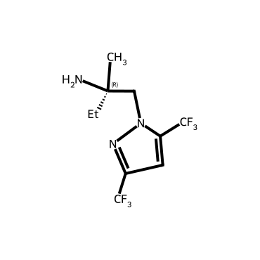 CC[C@@](C)(N)Cn1nc(C(F)(F)F)cc1C(F)(F)F